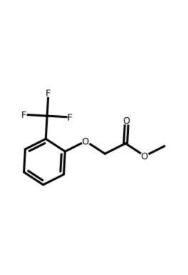 COC(=O)COc1ccccc1C(F)(F)F